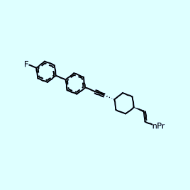 CCCC=C[C@H]1CC[C@H](C#Cc2ccc(-c3ccc(F)cc3)cc2)CC1